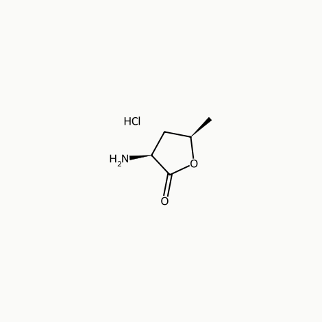 C[C@@H]1C[C@H](N)C(=O)O1.Cl